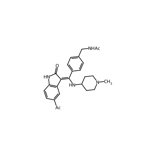 CC(=O)NCc1ccc(C(NC2CCN(C)CC2)=C2C(=O)Nc3ccc(C(C)=O)cc32)cc1